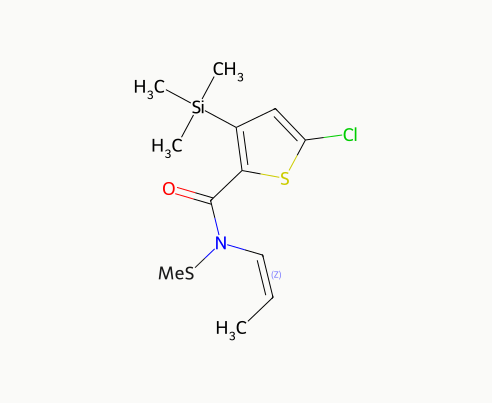 C/C=C\N(SC)C(=O)c1sc(Cl)cc1[Si](C)(C)C